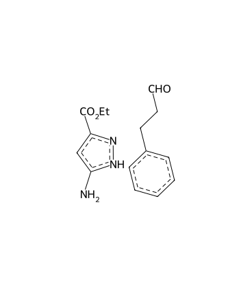 CCOC(=O)c1cc(N)[nH]n1.O=CCCc1ccccc1